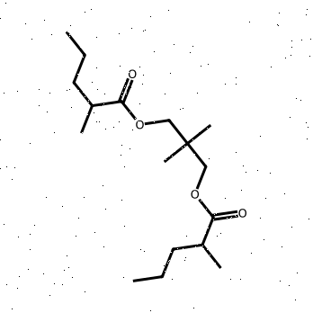 CCCC(C)C(=O)OCC(C)(C)COC(=O)C(C)CCC